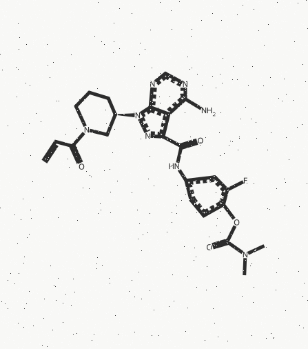 C=CC(=O)N1CCC[C@@H](n2nc(C(=O)Nc3ccc(OC(=O)N(C)C)c(F)c3)c3c(N)ncnc32)C1